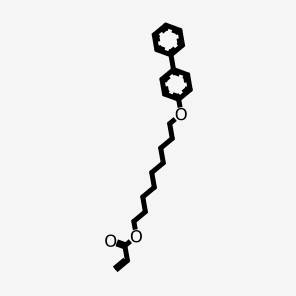 C=CC(=O)OCCCCCCCCCOc1ccc(-c2ccccc2)cc1